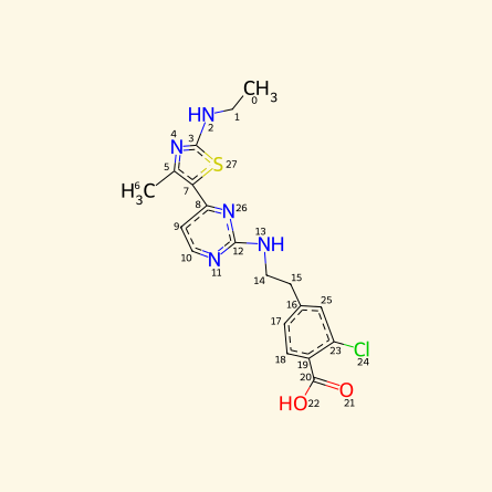 CCNc1nc(C)c(-c2ccnc(NCCc3ccc(C(=O)O)c(Cl)c3)n2)s1